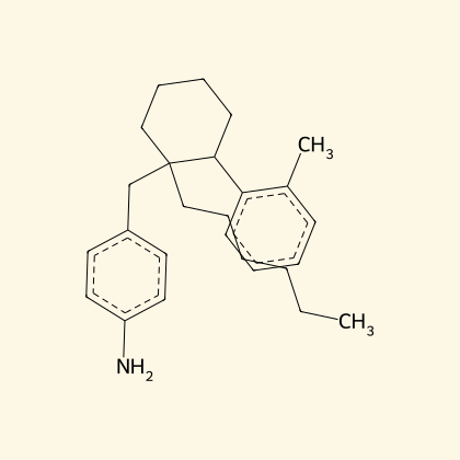 CCCCCCC1(Cc2ccc(N)cc2)CCCCC1c1ccccc1C